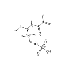 C=C(C)C(=O)NC(CC)[N+](C)(C)C.O=S(=O)(O)O